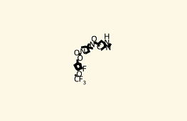 O=C(OCc1ccc(OCC(F)(F)F)c(F)c1)N1CCC2(CC1)CN(C(=O)C1CCc3nc[nH]c3C1)C2